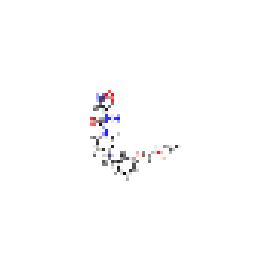 CC(C)OCCOc1cccc(/C=C2\CCN(C(=O)Nc3cnoc3)CC2C)c1